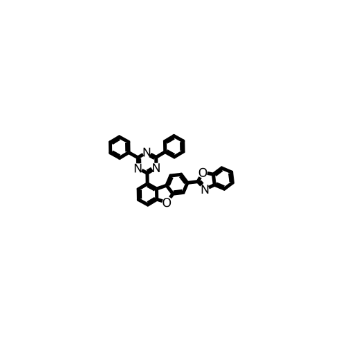 c1ccc(-c2nc(-c3ccccc3)nc(-c3cccc4oc5cc(-c6nc7ccccc7o6)ccc5c34)n2)cc1